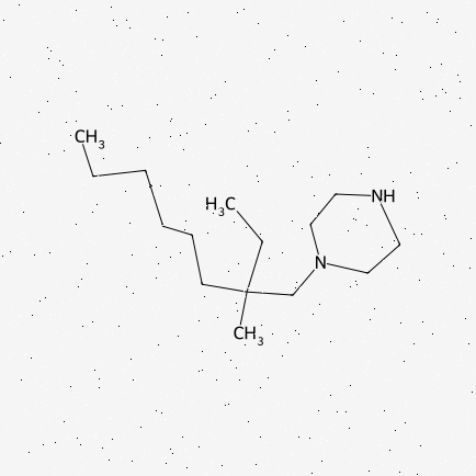 CCCCCCC(C)(CC)CN1CCNCC1